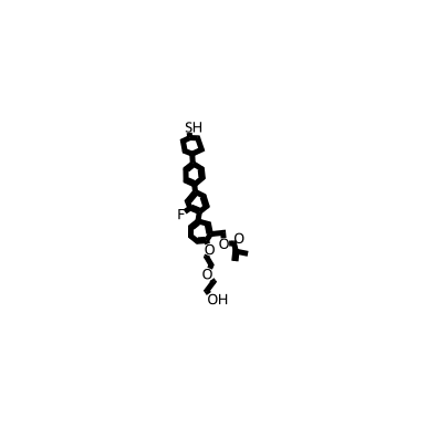 C=C(C)C(=O)OCC1=CC(c2ccc(-c3ccc(C4CCC(S)CC4)cc3)cc2F)=CCC=C1OCCOCCO